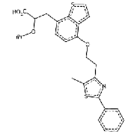 Cc1sc(-c2ccccc2)nc1CCOc1ccc(CC(OC(C)C)C(=O)O)c2sccc12